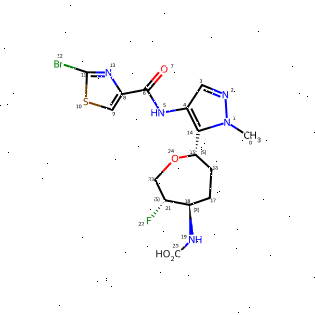 Cn1ncc(NC(=O)c2csc(Br)n2)c1[C@@H]1CC[C@@H](NC(=O)O)[C@H](F)CO1